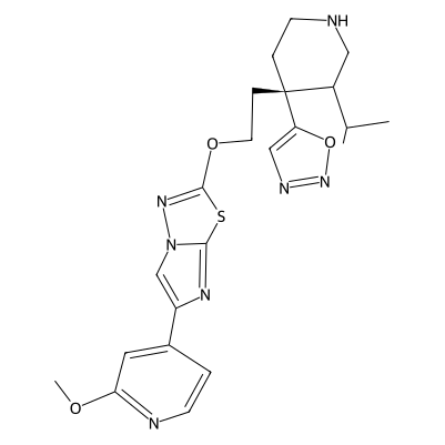 COc1cc(-c2cn3nc(OCC[C@@]4(c5cnno5)CCNCC4C(C)C)sc3n2)ccn1